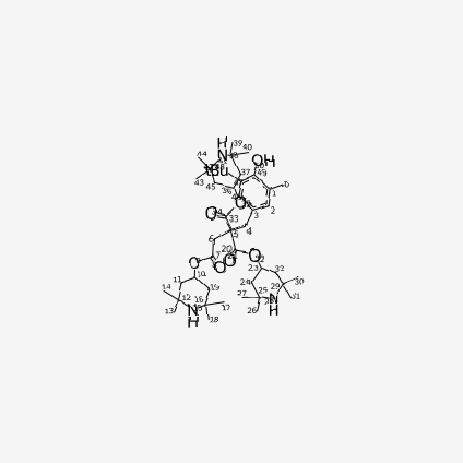 Cc1cc(CC(CC(=O)OC2CC(C)(C)NC(C)(C)C2)(C(=O)OC2CC(C)(C)NC(C)(C)C2)C(=O)OC2CC(C)(C)NC(C)(C)C2)cc(C(C)(C)C)c1O